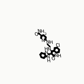 NC(=O)c1ccc(NCCNc2c(-c3nc4ccccc4[nH]3)c(=O)[nH]c3ccc(Cl)cc23)nc1